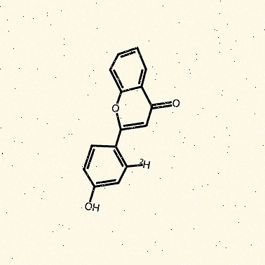 [2H]c1cc(O)ccc1-c1cc(=O)c2ccccc2o1